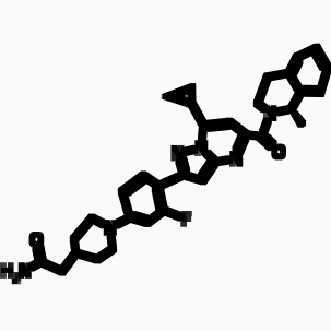 C[C@@H]1c2ccccc2CCN1C(=O)c1cc(C2CC2)n2nc(-c3ccc(N4CCC(CC(N)=O)CC4)cc3F)cc2n1